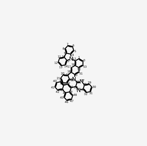 c1cc(-n2c3ccccc3c3ccccc32)c2cc3c4ccccc4n(-c4nc5ccccc5nc4-c4cc5ccccc5c5ccccc45)c3cc2c1